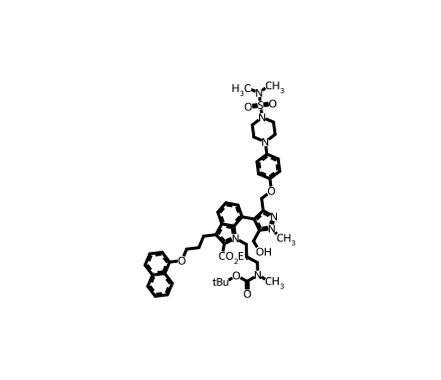 CCOC(=O)c1c(CCCOc2cccc3ccccc23)c2cccc(-c3c(COc4ccc(N5CCN(S(=O)(=O)N(C)C)CC5)cc4)nn(C)c3CO)c2n1CCCN(C)C(=O)OC(C)(C)C